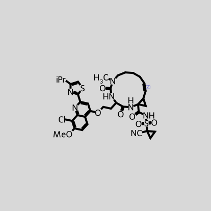 COc1ccc2c(OCCC3NC(=O)N(C)CCCC/C=C\C4CC4(C(=O)NS(=O)(=O)C4(C#N)CC4)NC3=O)cc(-c3nc(C(C)C)cs3)nc2c1Cl